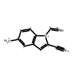 Cc1ccc2c(c1)cc(C#N)n2C=N